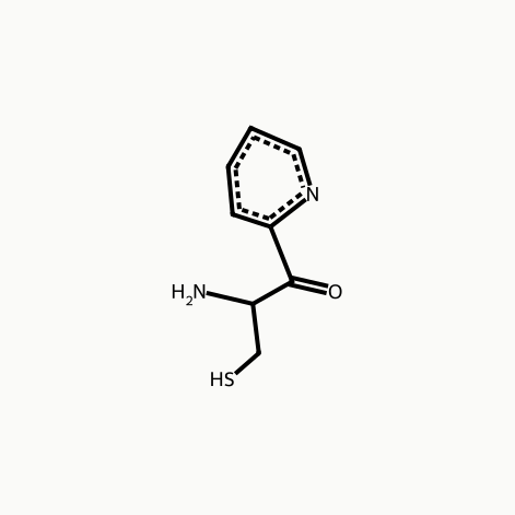 NC(CS)C(=O)c1ccccn1